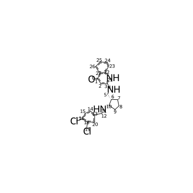 O=c1cc(NC[C@@H]2CCC[C@@H]2NCc2ccc(Cl)c(Cl)c2)[nH]c2ccccc12